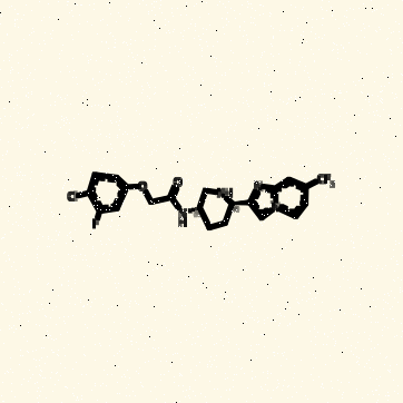 O=C(COc1ccc(Cl)c(F)c1)N[C@H]1CC[C@H](c2cn3ccc(C(F)(F)F)cc3n2)NC1